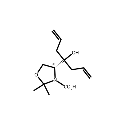 C=CCC(O)(CC=C)[C@H]1COC(C)(C)N1C(=O)O